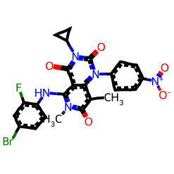 Cc1c(=O)n(C)c(Nc2ccc(Br)cc2F)c2c(=O)n(C3CC3)c(=O)n(-c3ccc([N+](=O)[O-])cc3)c12